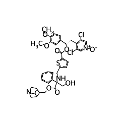 COc1ccc([C@H](Cc2c(Cl)c[n+]([O-])cc2Cl)OC(=O)c2ccc(CNC(CO)(C(=O)OCC34CCN(CC3)CC4)c3ccccc3)s2)cc1OC